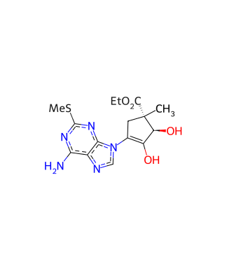 CCOC(=O)[C@@]1(C)CC(n2cnc3c(N)nc(SC)nc32)=C(O)[C@@H]1O